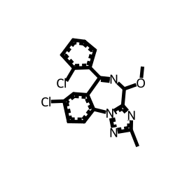 COC1N=C(c2ccccc2Cl)c2cc(Cl)ccc2-n2nc(C)nc21